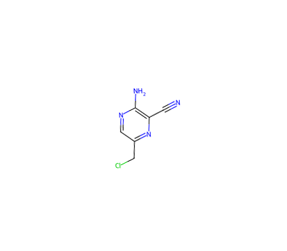 N#Cc1nc(CCl)cnc1N